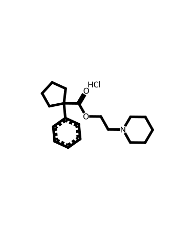 Cl.O=C(OCCN1CCCCC1)C1(c2ccccc2)CCCC1